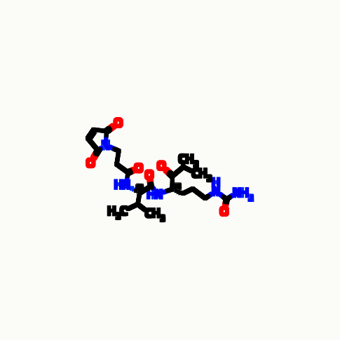 CC(C)C(=O)[C@H](CCCNC(N)=O)NC(=O)[C@@H](NC(=O)CCN1C(=O)C=CC1=O)C(C)C